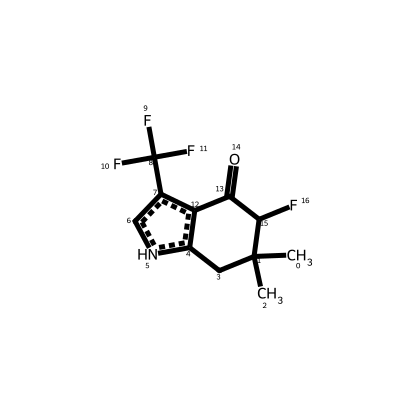 CC1(C)Cc2[nH]cc(C(F)(F)F)c2C(=O)C1F